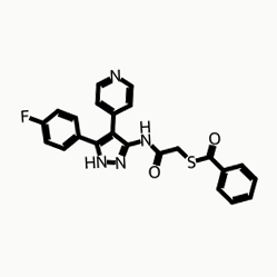 O=C(CSC(=O)c1ccccc1)Nc1n[nH]c(-c2ccc(F)cc2)c1-c1ccncc1